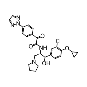 O=C(N[C@H](CN1CCCC1)[C@H](O)c1ccc(OC2CC2)c(Cl)c1)C(=O)c1ccc(-n2nccn2)cc1